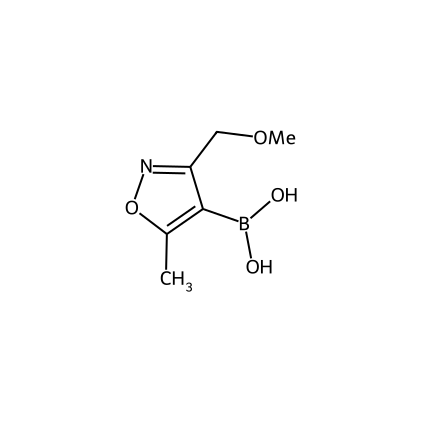 COCc1noc(C)c1B(O)O